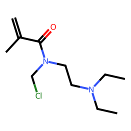 C=C(C)C(=O)N(CCl)CCN(CC)CC